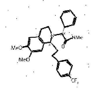 CNC(=O)[C@@H](C1C=CC=CC1)N1CCc2cc(OC)c(OC)cc2[C@@H]1CCc1ccc(C(F)(F)F)cc1